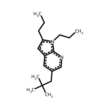 CCCc1cc2cc(CC(C)(C)C)cnc2n1CCC